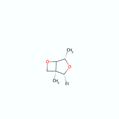 CC[C@H]1O[C@@H](C)C2OC[C@@]21C